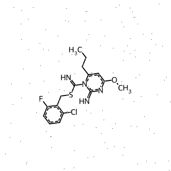 CCCc1cc(OC)nc(=N)n1C(=N)SCc1c(F)cccc1Cl